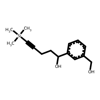 C[Si](C)(C)C#CCCC(O)c1cccc(CO)c1